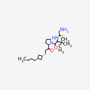 CCCC[C@H]1C[C@H](CCC(=O)C2CCCN2C(=O)[C@@H](NC(=S)CN)C(C)(C)C)C1